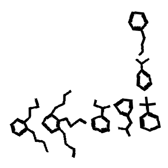 CC(C)(C)c1ccccc1.CC(C)Cc1ccccc1.CC(C)c1ccccc1.CCC(C)c1ccccc1.CCCCc1cccc(CCCC)c1CCCC.CCCCc1ccccc1.CCCCc1ccccc1CCCC